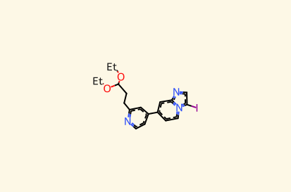 CCOC(CCc1cc(-c2ccn3c(I)cnc3c2)ccn1)OCC